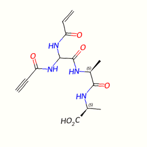 C#CC(=O)NC(NC(=O)C=C)C(=O)N[C@@H](C)C(=O)N[C@@H](C)C(=O)O